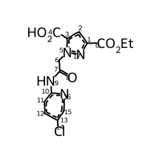 CCOC(=O)c1cc(C(=O)O)n(CC(=O)Nc2ccc(Cl)cn2)n1